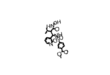 COC(=O)c1ccc(S(=O)(=O)NC(c2cccnc2)C(C(=O)NO)C(C)C)cc1